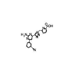 N#Cc1cccc(-c2cc(-c3cn(Cc4cccc(C(=O)O)n4)nn3)nc(N)n2)c1